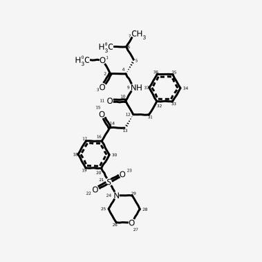 COC(=O)[C@H](CC(C)C)NC(=O)[C@@H](CC(=O)c1cccc(S(=O)(=O)N2CCOCC2)c1)Cc1ccccc1